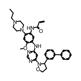 C=CC(=O)Nc1cc(Nc2cc(N3OCCC3c3cccc(-c4ccccc4)c3)ncn2)c(OC)cc1N1CCN(CCC)CC1